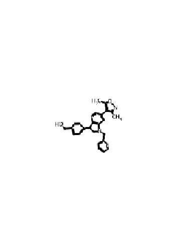 Cc1noc(C)c1-c1ccc2c(c1)N(Cc1ccccn1)CC2c1ccc(CO)cc1